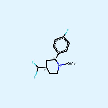 CSN1CC[C@@H](C(F)F)C[C@H]1c1ccc(F)cc1